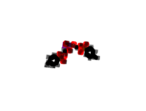 Cc1ccc(S(=O)(=O)OCO[PH](=O)OCOS(=O)(=O)c2ccc(C)cc2)cc1